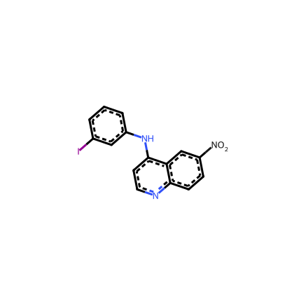 O=[N+]([O-])c1ccc2nccc(Nc3cccc(I)c3)c2c1